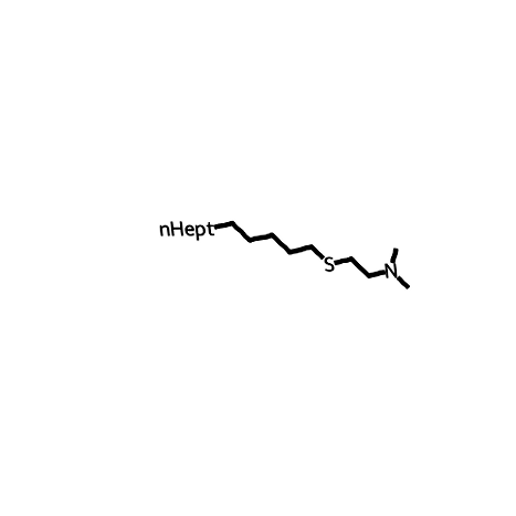 CCCCCCCCCCCCSCCN(C)C